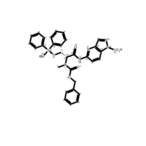 CN(C(=O)OCc1ccccc1)[C@H](CO[Si](c1ccccc1)(c1ccccc1)C(C)(C)C)C(=O)Nc1ccc2c(cnn2C(=O)O)n1